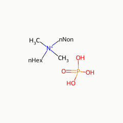 CCCCCCCCC[N+](C)(C)CCCCCC.O=P(O)(O)O